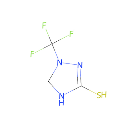 FC(F)(F)N1CNC(S)=N1